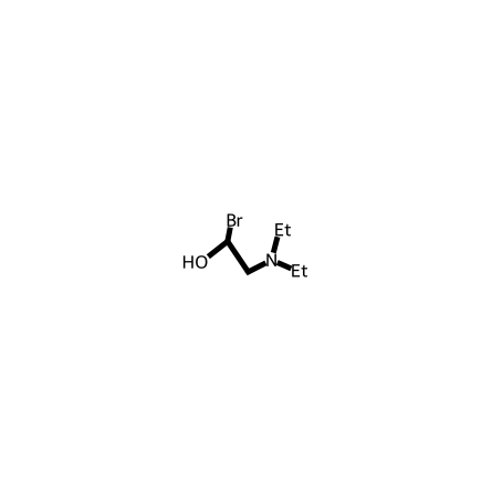 CCN(CC)CC(O)Br